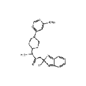 COc1cc(N2CCC(N(C)C(=O)CC3(Cl)N=c4ccccc4=N3)CC2)ncn1